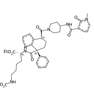 CCOC(=O)NCCCC[C@@H](NC(=O)[C@@]1(c2ccccc2)CC[C@H](C(=O)N2CCC(NC(=O)c3cccn(C)c3=O)CC2)c2ccccc21)C(=O)OCC